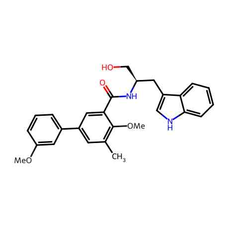 COc1cccc(-c2cc(C)c(OC)c(C(=O)N[C@@H](CO)Cc3c[nH]c4ccccc34)c2)c1